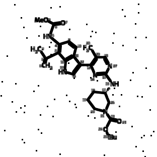 C=C(C)c1c(NC(=O)OC)ccc2c(-c3nc(N[C@H]4CCCN(C(=O)OC(C)(C)C)C4)ncc3C(F)(F)F)c[nH]c12